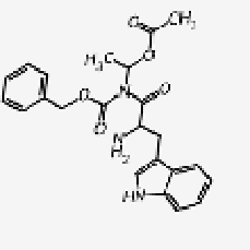 CC(=O)OC(C)N(C(=O)OCc1ccccc1)C(=O)C(N)Cc1c[nH]c2ccccc12